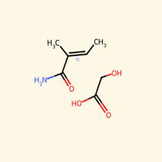 C/C=C(\C)C(N)=O.O=C(O)CO